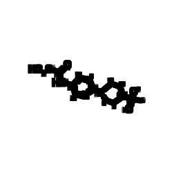 CS(=O)(=O)N1CCN(c2ccc(NC(=O)C(=O)O)cn2)CC1